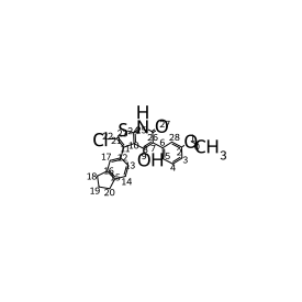 COc1cccc(-c2c(O)c3c(-c4ccc5c(c4)CCC5)c(Cl)sc3[nH]c2=O)c1